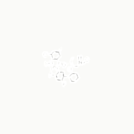 CCC(CNC=O)Oc1ccccc1-c1cc(N[S+]([O-])c2cc(C)cc(Cl)c2O)c(F)cc1F